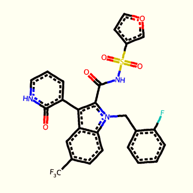 O=C(NS(=O)(=O)c1ccoc1)c1c(-c2ccc[nH]c2=O)c2cc(C(F)(F)F)ccc2n1Cc1ccccc1F